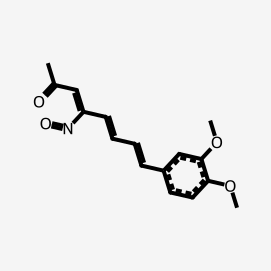 COc1ccc(/C=C/C=C/C(=C/C(C)=O)N=O)cc1OC